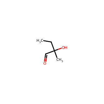 CCC(C)(O)C=O